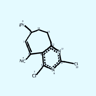 CC(C)C1C=C(C#N)c2c(Cl)nc(Cl)nc2CC1